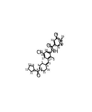 Cc1c(C=C2CCN(C(=O)C3CCCC3)CC2)cc(Cl)cc1NC(=O)c1cnn(C)c(=O)c1